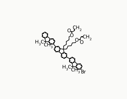 C=CC(=O)OCCCCCC1(CCCCCOC(=O)C=C)c2cc(-c3ccc4c(c3)C(C)(C)c3ccccc3-4)ccc2-c2ccc(-c3ccc4c(c3)C(C)(C)c3cc(Br)ccc3-4)cc21